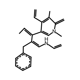 C=CN/C=C(Cc1ccccc1)\C(=C/C)C1=CN(C)C(=C)C(C)=C1C=C